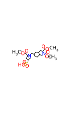 CCOC(=O)C1CC(CS(=O)(=O)O)CN1CC1CCC2CN(C(=O)OC)C(C(=O)OCC)CC2C1